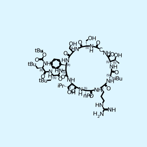 CCC[C@@H]1NC(=O)[C@H]([C@H](O)C(C)C)NC(=O)[C@@H](NC(=O)[C@H](CC(C)(C)C)NC(=O)[C@@H](CC(C)(C)C)NC(=O)OC(C)(C)C)[C@@H](c2ccccc2)NC(=O)C(CO)NC(=O)[C@H](CO)NC(=O)CNC(=O)[C@H]([C@H](C)O)NC(=O)[C@H]([C@@H](C)CC)NC(=O)[C@@H](CCCNC(=N)N)NC1=O